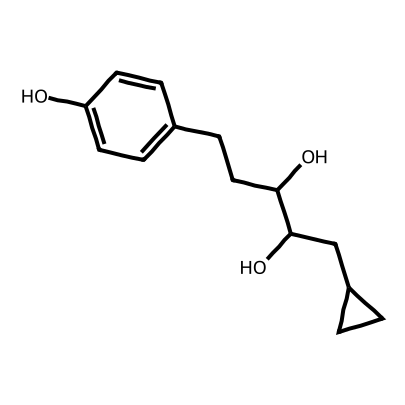 Oc1ccc(CCC(O)C(O)CC2CC2)cc1